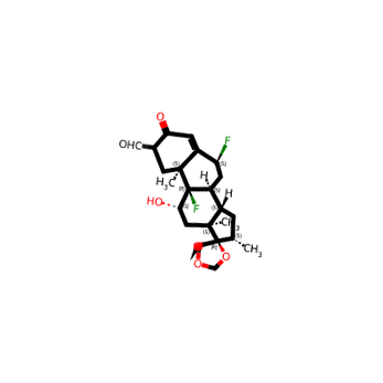 C[C@H]1C[C@H]2[C@@H]3C[C@H](F)C4=CC(=O)C(C=O)C[C@]4(C)[C@@]3(F)[C@@H](O)C[C@]2(C)[C@]12OCOC21COCO1